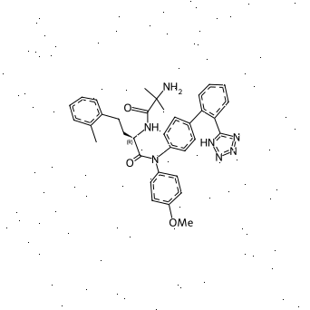 COc1ccc(N(C(=O)[C@@H](CCc2ccccc2C)NC(=O)C(C)(C)N)c2ccc(-c3ccccc3-c3nnn[nH]3)cc2)cc1